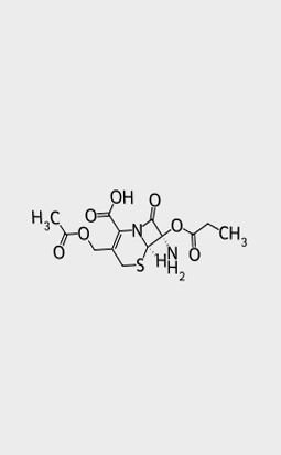 CCC(=O)O[C@]1(N)C(=O)N2C(C(=O)O)=C(COC(C)=O)CS[C@@H]21